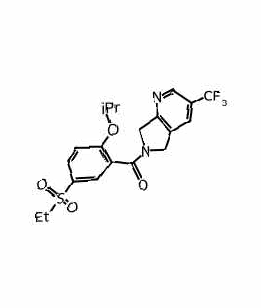 CCS(=O)(=O)c1ccc(OC(C)C)c(C(=O)N2Cc3cc(C(F)(F)F)cnc3C2)c1